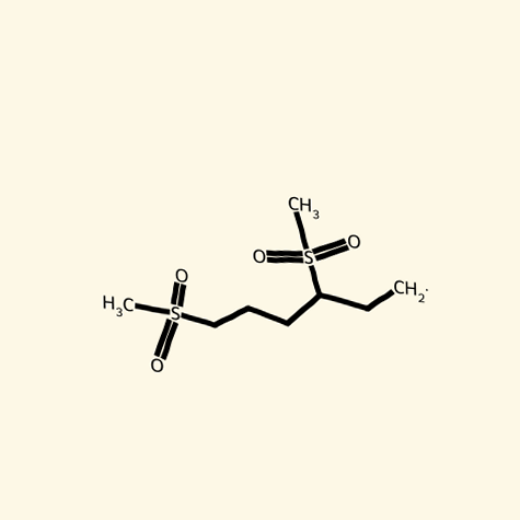 [CH2]CC(CCCS(C)(=O)=O)S(C)(=O)=O